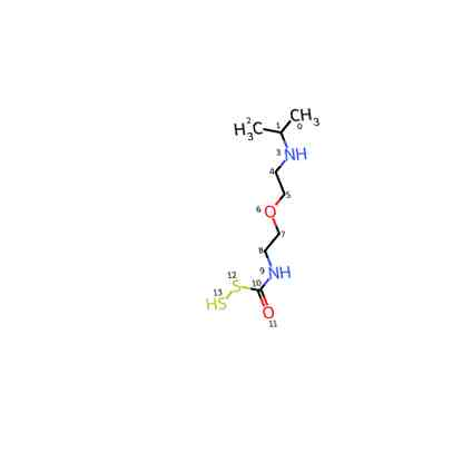 CC(C)NCCOCCNC(=O)SS